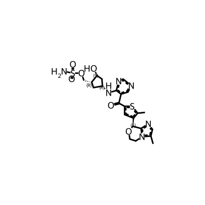 Cc1sc(C(=O)c2cncnc2N[C@@H]2C[C@H](COS(N)(=O)=O)[C@@H](O)C2)cc1[C@@H]1OCCn2c(C)cnc21